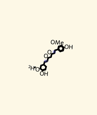 [2H]COC1CC(/C=C/C(=O)CC(=O)/C=C/c2ccc(O)c(OC)c2)CC=C1O